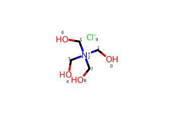 OC[N+](CO)(CO)CO.[Cl-]